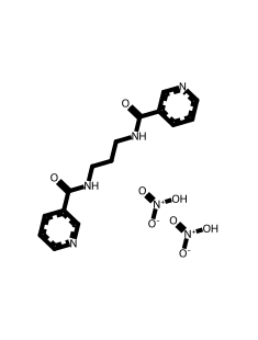 O=C(NCCCNC(=O)c1cccnc1)c1cccnc1.O=[N+]([O-])O.O=[N+]([O-])O